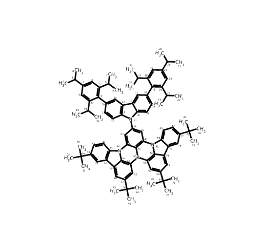 CC(C)c1cc(C(C)C)c(-c2ccc3c(c2)c2cc(-c4c(C(C)C)cc(C(C)C)cc4C(C)C)ccc2n3-c2cc3c4c(c2)-n2c5ccc(C(C)(C)C)cc5c5cc(C(C)(C)C)cc(c52)B4c2cc(C(C)(C)C)cc4c5cc(C(C)(C)C)ccc5n-3c24)c(C(C)C)c1